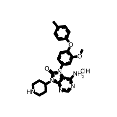 COc1cc(-n2c(=O)n(C3CCNCC3)c3ncnc(N)c32)ccc1Oc1ccc(C)cc1.Cl